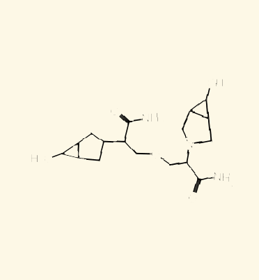 CC1C2CC(C(COCC(C(N)=O)N3CC4C(C)C4C3)C(N)=O)CC12